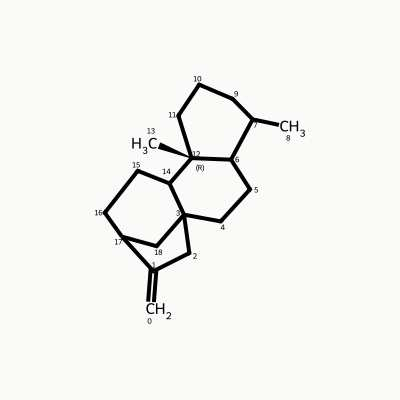 C=C1CC23CCC4C(C)CCC[C@@]4(C)C2CCC1C3